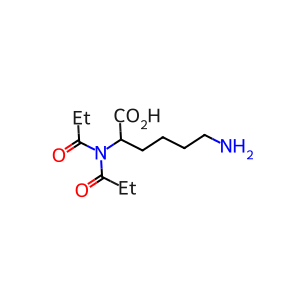 CCC(=O)N(C(=O)CC)C(CCCCN)C(=O)O